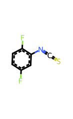 Fc1ccc(F)c(N=C=S)c1